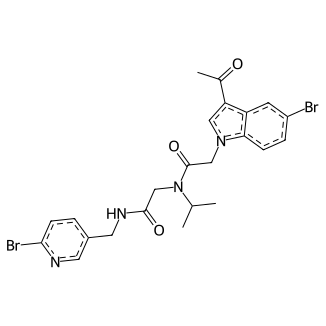 CC(=O)c1cn(CC(=O)N(CC(=O)NCc2ccc(Br)nc2)C(C)C)c2ccc(Br)cc12